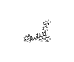 CC(C)(C)OC(=O)N1CCC(n2cc(-c3ccncc3)c(-c3cccc(NCOCS(=O)(=O)c4cc(F)ccc4F)c3F)n2)CC1